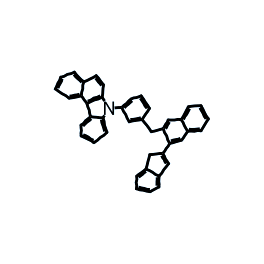 C1=C(c2cc3ccccc3cc2Cc2cccc(-n3c4ccccc4c4c5ccccc5ccc43)c2)Cc2ccccc21